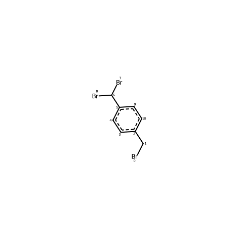 BrCc1ccc(C(Br)Br)cc1